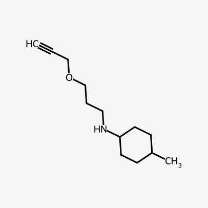 C#CCOCCCNC1CCC(C)CC1